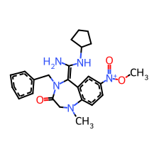 CO[N+](=O)c1ccc2c(c1)/C(=C(/N)NC1CCCC1)N(Cc1ccccc1)C(=O)CN2C